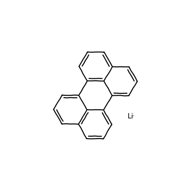 [Li].c1cc2cccc3c4cccc5cccc(c(c1)c23)c54